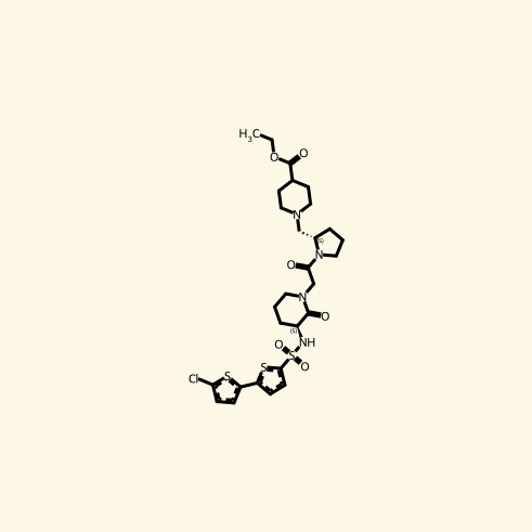 CCOC(=O)C1CCN(C[C@@H]2CCCN2C(=O)CN2CCC[C@H](NS(=O)(=O)c3ccc(-c4ccc(Cl)s4)s3)C2=O)CC1